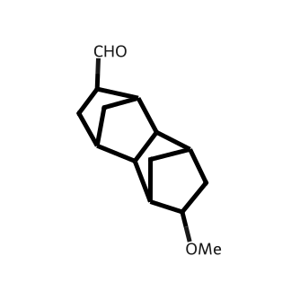 COC1CC2CC1C1C3CC(C=O)C(C3)C21